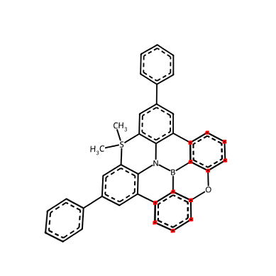 CS1(C)c2cc(-c3ccccc3)cc(-c3ccccc3)c2N(B2c3ccccc3Oc3ccccc32)c2c(-c3ccccc3)cc(-c3ccccc3)cc21